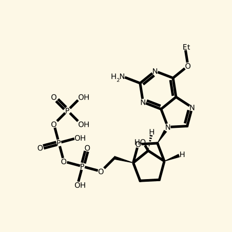 CCOc1nc(N)nc2c1ncn2[C@@H]1O[C@@]2(COP(=O)(O)OP(=O)(O)OP(=O)(O)O)CC[C@@H]1[C@@H]2O